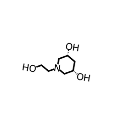 OCCN1C[C@H](O)C[C@H](O)C1